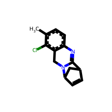 Cc1ccc2c(c1Cl)CN1C(=N2)C2C=CC1C2